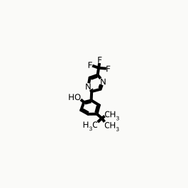 CC(C)(C)c1ccc(O)c(-c2cnc(C(F)(F)F)cn2)c1